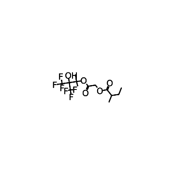 CCC(C)C(=O)OCC(=O)OC(C)(C)C(O)(C(F)(F)F)C(F)(F)F